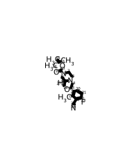 Cc1c([C@H]2CN3CCN(C(=O)OC(C)(C)C)C[C@H]3CO2)ccc(F)c1C#N